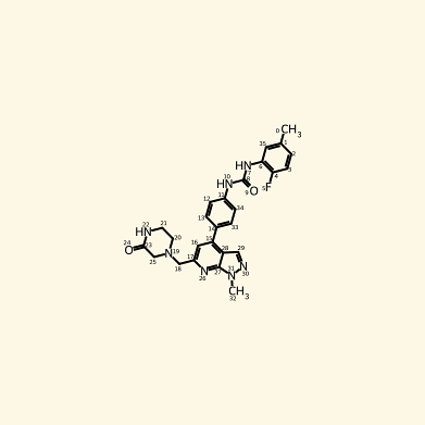 Cc1ccc(F)c(NC(=O)Nc2ccc(-c3cc(CN4CCNC(=O)C4)nc4c3cnn4C)cc2)c1